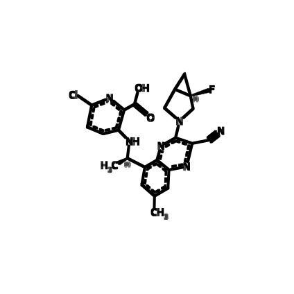 Cc1cc([C@@H](C)Nc2ccc(Cl)nc2C(=O)O)c2nc(N3CC4C[C@]4(F)C3)c(C#N)nc2c1